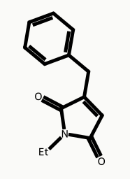 [CH2]CN1C(=O)C=C(Cc2ccccc2)C1=O